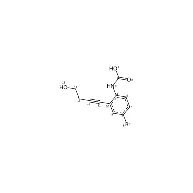 O=C(O)Nc1ccc(Br)cc1C#CCCO